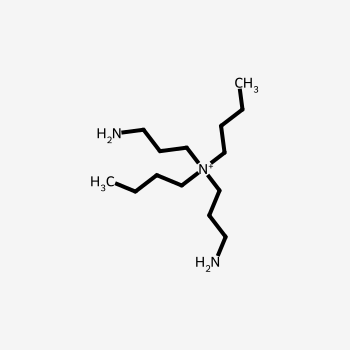 CCCC[N+](CCCC)(CCCN)CCCN